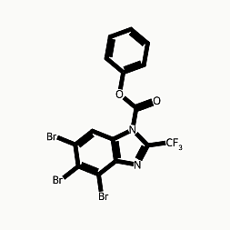 O=C(Oc1ccccc1)n1c(C(F)(F)F)nc2c(Br)c(Br)c(Br)cc21